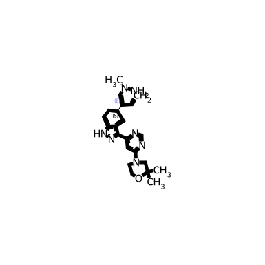 C=C/C(=C\N(C)N)[C@@H]1C=c2c(-c3cc(N4CCOC(C)(C)C4)ncn3)n[nH]c2=CC1